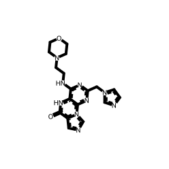 O=c1[nH]c2c(NCCN3CCOCC3)nc(Cn3ccnc3)nc2n2cncc12